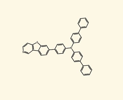 c1ccc(-c2ccc(N(c3ccc(-c4ccccc4)cc3)c3ccc(-c4ccc5c(c4)sc4ccncc45)cc3)cc2)cc1